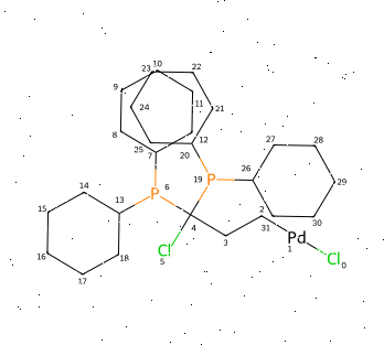 [Cl][Pd][CH2]CC(Cl)(P(C1CCCCC1)C1CCCCC1)P(C1CCCCC1)C1CCCCC1